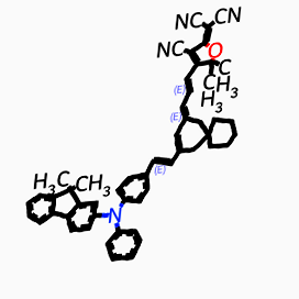 CC1(C)OC(=C(C#N)C#N)C(C#N)=C1/C=C/C=C1C=C(/C=C/c2ccc(N(c3ccccc3)c3ccc4c(c3)C(C)(C)c3ccccc3-4)cc2)CC2(CCCCC2)C/1